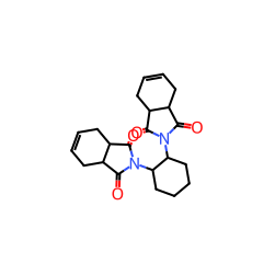 O=C1C2CC=CCC2C(=O)N1C1CCCCC1N1C(=O)C2CC=CCC2C1=O